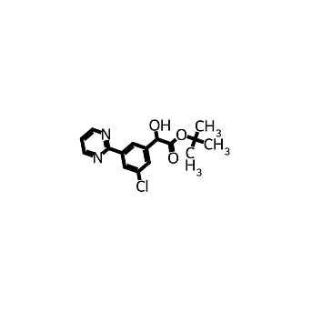 CC(C)(C)OC(=O)C(O)c1cc(Cl)cc(-c2ncccn2)c1